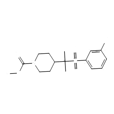 CC(C)(C)OC(=O)N1CCC(C(C)(C)S(=O)(=O)c2cccc(C(F)(F)F)c2)CC1